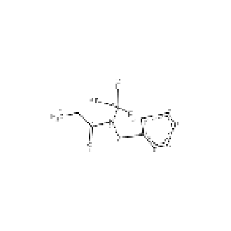 CCC(=O)N(Cc1ccccc1)C(F)(F)F